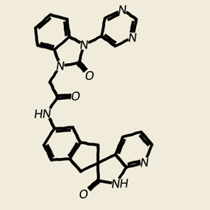 O=C(Cn1c(=O)n(-c2cncnc2)c2ccccc21)Nc1ccc2c(c1)CC1(C2)C(=O)Nc2ncccc21